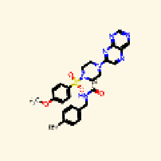 CC(C)(C)c1ccc(CNC(=O)[C@H]2CN(c3cnc4cncnc4n3)CCN2S(=O)(=O)c2ccc(OC(F)(F)F)cc2)cc1